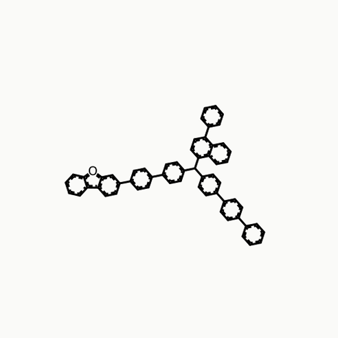 c1ccc(-c2ccc(-c3ccc(C(c4ccc(-c5ccc(-c6ccc7c(c6)oc6ccccc67)cc5)cc4)c4ccc(-c5ccccc5)c5ccccc45)cc3)cc2)cc1